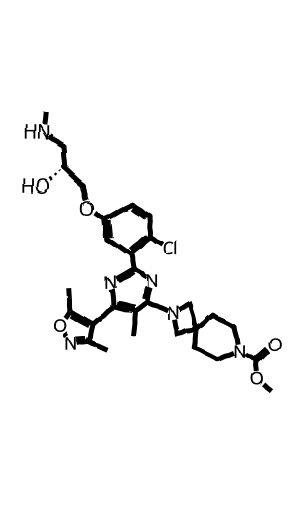 CNC[C@@H](O)COc1ccc(Cl)c(-c2nc(-c3c(C)noc3C)c(C)c(N3CC4(CCN(C(=O)OC)CC4)C3)n2)c1